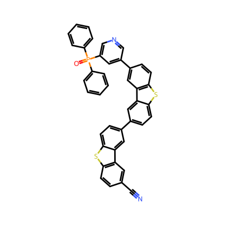 N#Cc1ccc2sc3ccc(-c4ccc5sc6ccc(-c7cncc(P(=O)(c8ccccc8)c8ccccc8)c7)cc6c5c4)cc3c2c1